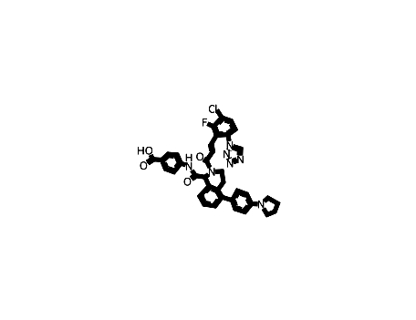 O=C(O)c1ccc(NC(=O)C2c3cccc(-c4ccc(N5CCCC5)cc4)c3CCN2C(=O)C=Cc2c(-n3cnnn3)ccc(Cl)c2F)cc1